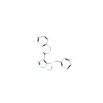 C[C@H](NC(=O)c1c(C(F)(F)F)nn2c1N(Cc1cccc(F)c1)CC2)c1ccc(C(=O)O)cc1